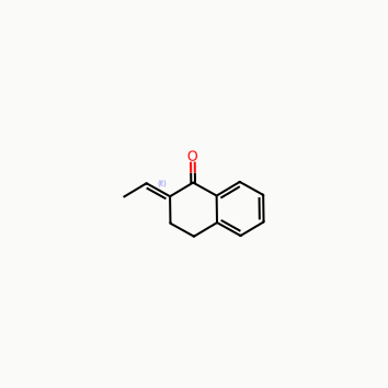 C/C=C1\CCc2ccccc2C1=O